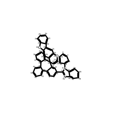 c1ccc(-n2c(-c3ccc4c(c3)C3(c5ccccc5Oc5cc6c(cc53)oc3ccccc36)c3ccccc3-c3ccccc3-4)nc3ccccc32)cc1